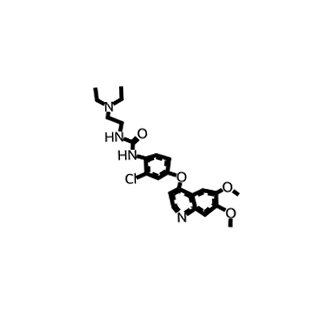 CCN(CC)CCNC(=O)Nc1ccc(Oc2ccnc3cc(OC)c(OC)cc23)cc1Cl